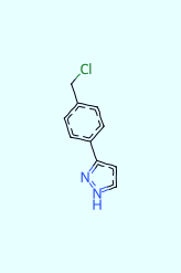 ClCc1ccc(-c2cc[nH]n2)cc1